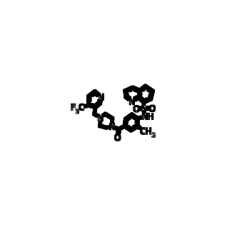 Cc1cc(C(=O)N2CCN(Cc3cnccc3C(F)(F)F)CC2)ccc1NS(=O)(=O)c1cccc2cccnc12